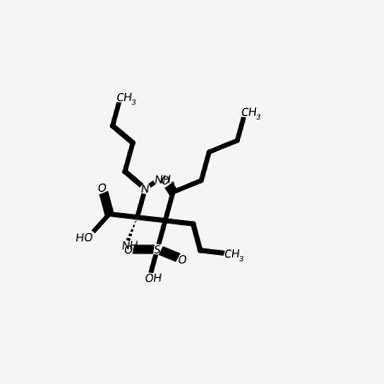 CCCCC(=O)C(CCC)([C@@](N)(C(=O)O)N(N)CCCC)S(=O)(=O)O